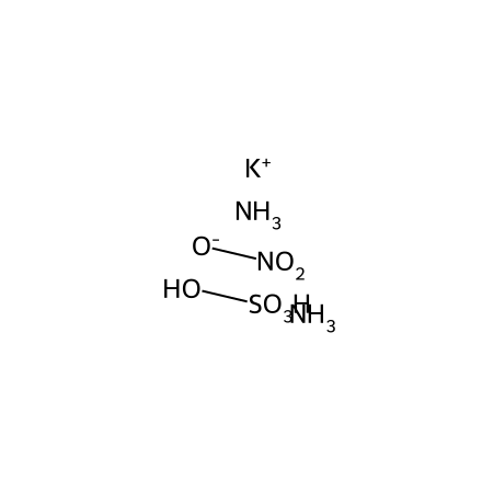 N.N.O=S(=O)(O)O.O=[N+]([O-])[O-].[K+]